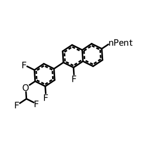 CCCCCc1ccc2c(F)c(-c3cc(F)c(OC(F)F)c(F)c3)ccc2c1